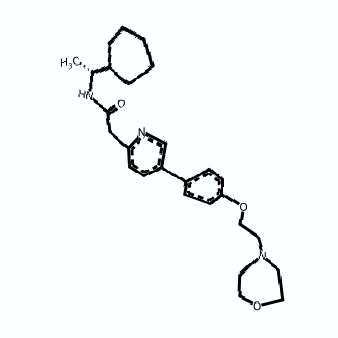 C[C@@H](NC(=O)Cc1ccc(-c2ccc(OCCN3CCOCC3)cc2)cn1)C1CCCCC1